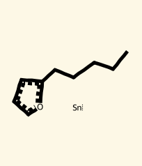 CCCCCc1ccco1.[Sn]